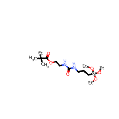 CCO[Si](CCCNC(=O)NCCOC(=O)C(C)(C)CC)(OCC)OCC